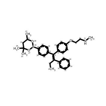 CCC(=C(c1ccc(OCCNC)cc1)c1ccc(B2OC(C)CC(C)(C)O2)cc1)c1ccccc1